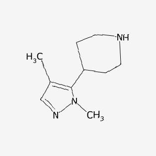 Cc1cnn(C)c1C1CCNCC1